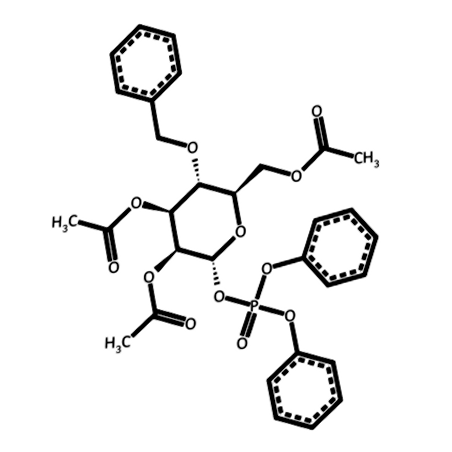 CC(=O)OC[C@H]1O[C@H](OP(=O)(Oc2ccccc2)Oc2ccccc2)[C@@H](OC(C)=O)[C@@H](OC(C)=O)[C@@H]1OCc1ccccc1